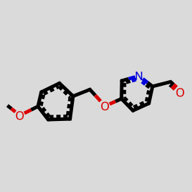 COc1ccc(COc2ccc(C=O)nc2)cc1